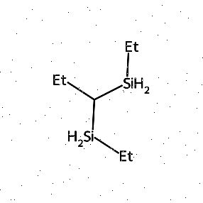 CC[SiH2]C(CC)[SiH2]CC